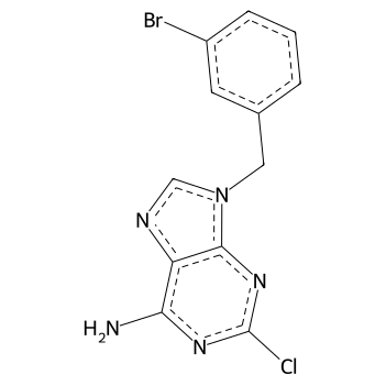 Nc1nc(Cl)nc2c1ncn2Cc1cccc(Br)c1